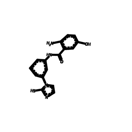 Nc1ccc(O)cc1C(=O)Nc1cccc(-n2ccnc2S)c1